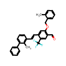 Cc1ccccc1COc1cc(/C=C/c2cccc(-c3ccccc3)c2C)c(C(F)(F)F)cc1C=O